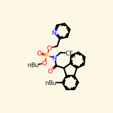 CCCCOP(=O)(OCc1ccccn1)N(CC(F)(F)F)C(=O)C1c2ccccc2-c2cccc(CCCC)c21